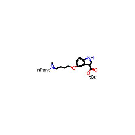 CCCCCN(C)CCCCOc1ccc2c(c1)C(C(=O)OC(C)(C)C)CN2